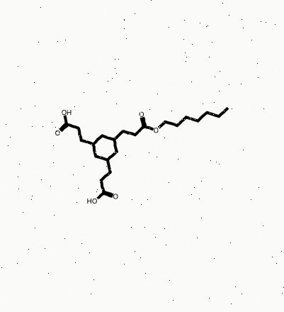 CCCCCCCOC(=O)CCC1CC(CCC(=O)O)CC(CCC(=O)O)C1